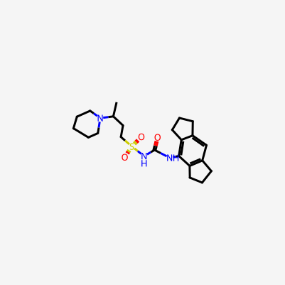 CC(CCS(=O)(=O)NC(=O)Nc1c2c(cc3c1CCC3)CCC2)N1CCCCC1